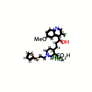 COc1ccc2ncc(F)c(C(O)CCC3CCN(CCSc4cccs4)CC3C(=O)O)c2c1.Cl.Cl